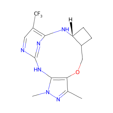 Cc1nn(C)c2c1OCC1CC[C@H]1Nc1nc(ncc1C(F)(F)F)N2